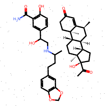 CC(=O)[C@@]1(O)CC[C@H]2[C@@H]3C[C@H](C)C4=CC(=O)CC[C@]4(C)[C@H]3CC[C@@]21C.CC(CCc1ccc2c(c1)OCO2)NCC(O)c1ccc(O)c(C(N)=O)c1